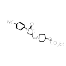 CCOC(=O)OC1CCN(CC2CN(c3ccc(C#N)cc3)C(=O)O2)CC1